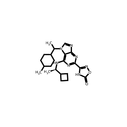 CC1CCC(C(C)n2cnc3nc(-c4noc(=O)[nH]4)nc(N[C@H](C)C4CCC4)c32)CC1